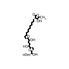 CCCCCCCCCC[C@H](O)[C@H]1CC[C@H]([C@H](O)CC[C@@H](O)[C@H]2CCC(CCCCCCCCC[C@@H]3C(=O)O[C@@H](C)[C@@H]3O)O2)O1